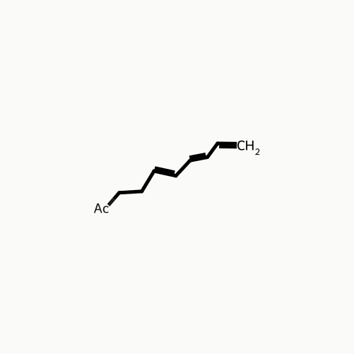 C=CC=CC=CCCC(C)=O